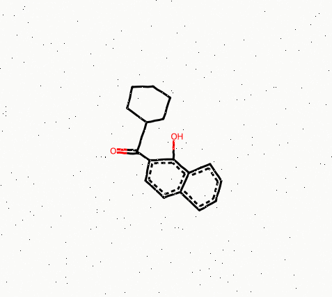 O=C(c1ccc2ccccc2c1O)C1CCCCC1